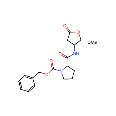 CO[C@H]1OC(=O)C[C@@H]1NC(=O)[C@@H]1CCCN1C(=O)OCc1ccccc1